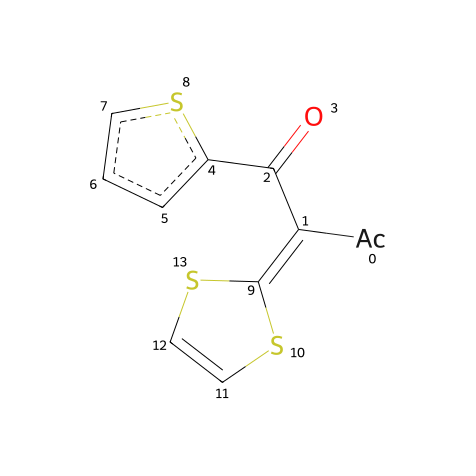 CC(=O)C(C(=O)c1cccs1)=C1SC=CS1